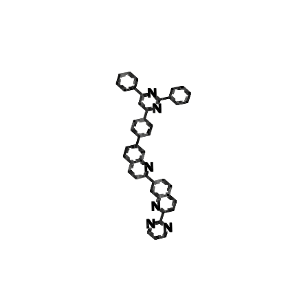 c1ccc(-c2cc(-c3ccc(-c4ccc5ccc(-c6ccc7ccc(-c8ncccn8)nc7c6)nc5c4)cc3)nc(-c3ccccc3)n2)cc1